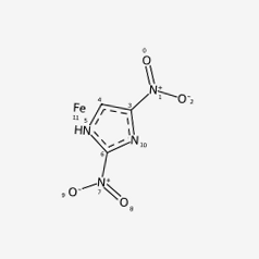 O=[N+]([O-])c1c[nH]c([N+](=O)[O-])n1.[Fe]